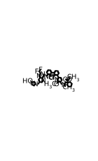 COC(=O)C1(CN(C)Cc2ccc(-c3cccc(-c4cccc(Nc5nc(C(F)F)nc6cc(CN7CC[C@@H](O)C7)cnc56)c4Cl)c3Cl)nc2OC)CCCCC1